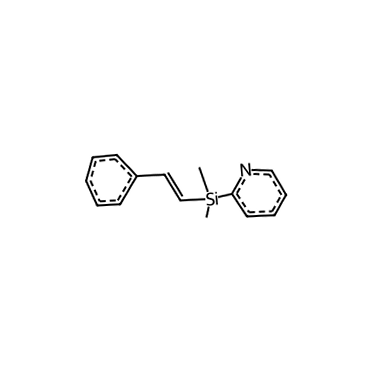 C[Si](C)(C=Cc1ccccc1)c1ccccn1